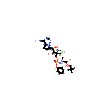 CCC(C)(C)COC(=O)[C@H](C)NP(=O)(OC[C@@](CF)(OC)[C@@H](O)[C@@H](O)c1ccc2c(N)ncnn12)Oc1ccccc1